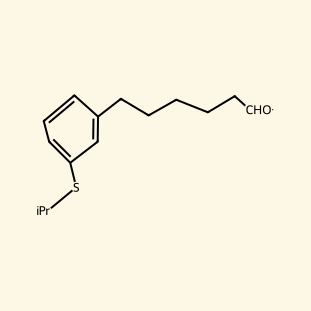 CC(C)Sc1cccc(CCCCC[C]=O)c1